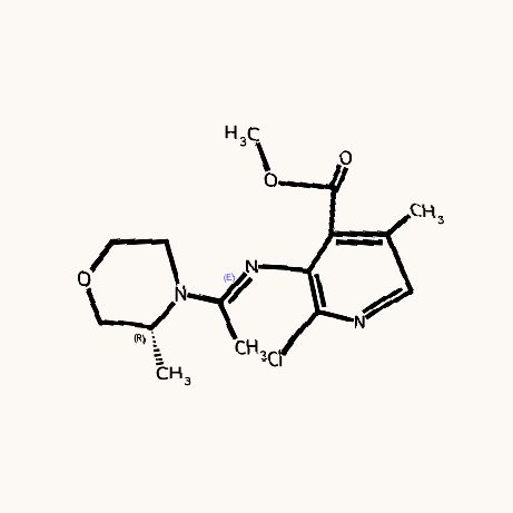 COC(=O)c1c(C)cnc(Cl)c1/N=C(\C)N1CCOC[C@H]1C